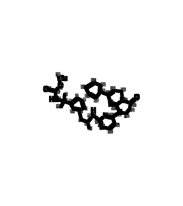 CC(Cc1cccc(C(C)(C)NC(=O)OC(C)(C)C)c1)Nc1nccc(N2CCC(=O)N3CC=C(c4ccccc4)N=C32)n1